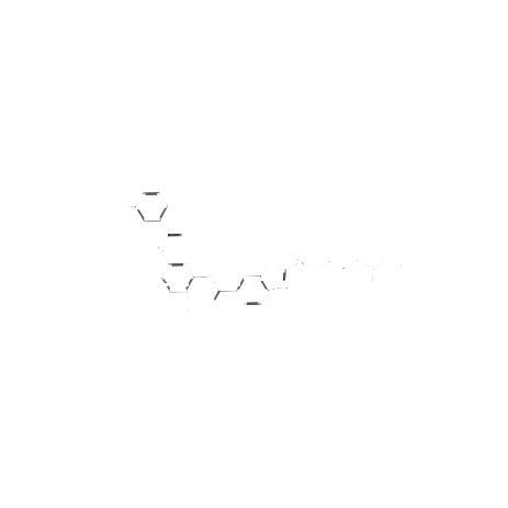 Cc1ccc(NC(=O)c2cccc(C(F)(F)F)c2)cc1NC(=O)c1ccc2nc(NCCCCN(C)C)sc2c1